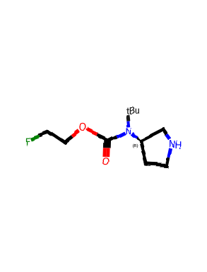 CC(C)(C)N(C(=O)OCCF)[C@@H]1CCNC1